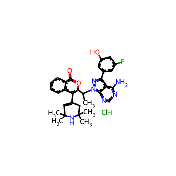 CC(c1oc(=O)c2ccccc2c1C1=CC(C)(C)NC(C)(C)C1)n1nc(-c2cc(O)cc(F)c2)c2c(N)ncnc21.Cl